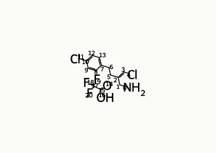 NCC(=CCl)CCc1ccc(Cl)cc1.O=C(O)C(F)(F)F